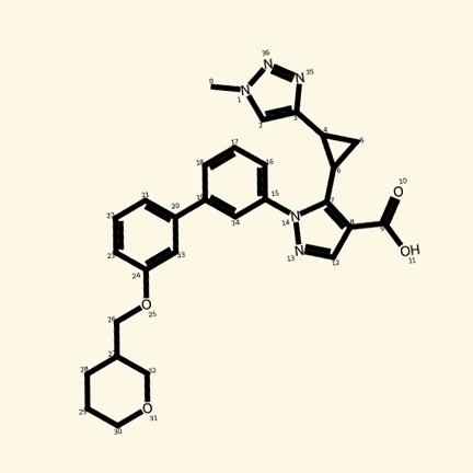 Cn1cc(C2CC2c2c(C(=O)O)cnn2-c2cccc(-c3cccc(OCC4CCCOC4)c3)c2)nn1